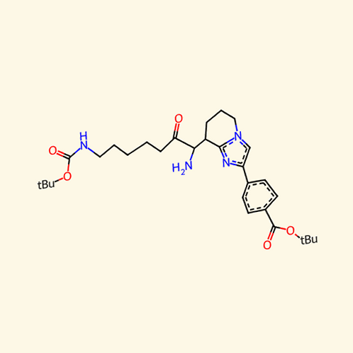 CC(C)(C)OC(=O)NCCCCCC(=O)C(N)C1CCCn2cc(-c3ccc(C(=O)OC(C)(C)C)cc3)nc21